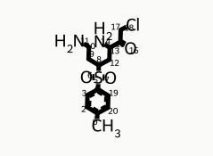 Cc1ccc(S(=O)(=O)C(CCN)CC(N)C(=O)CCl)cc1